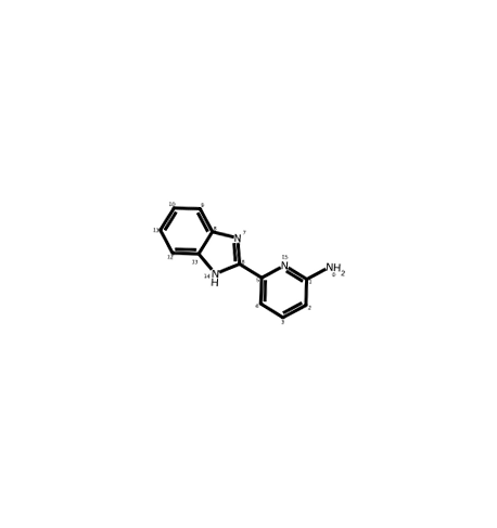 Nc1cccc(-c2nc3ccccc3[nH]2)n1